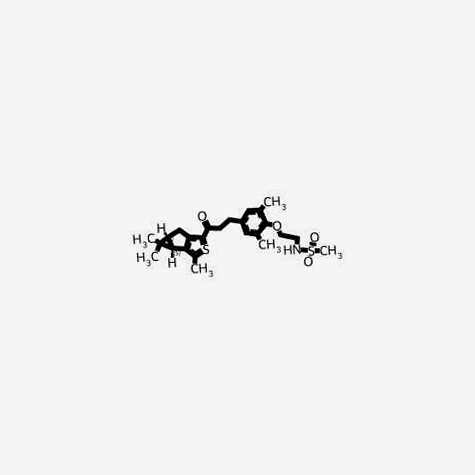 Cc1cc(CCC(=O)c2sc(C)c3c2C[C@@H]2[C@H]3C2(C)C)cc(C)c1OCCNS(C)(=O)=O